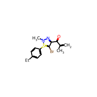 C=C(C)C(=O)C1=NN(C)S(c2ccc(CC)cc2)=C1Br